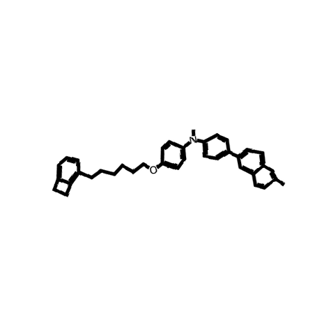 Cc1ccc2cc(-c3ccc(N(C)c4ccc(OCCCCCCc5cccc6c5CC6)cc4)cc3)ccc2c1